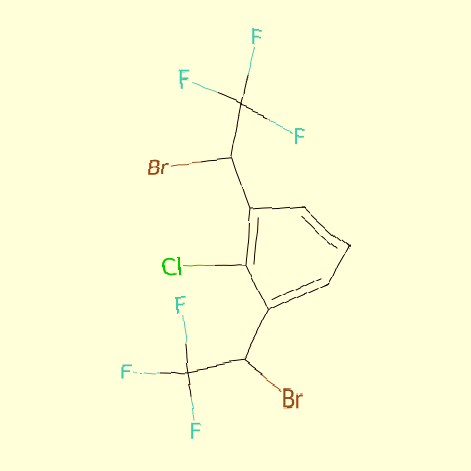 FC(F)(F)C(Br)c1cccc(C(Br)C(F)(F)F)c1Cl